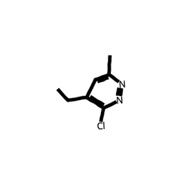 CCc1cc(C)nnc1Cl